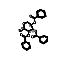 O=C(O[C@@H]1[C@@H](OC(=O)c2ccccc2)[C@H](OC(=O)c2ccccc2)CO[C@@H]1Br)c1ccccc1